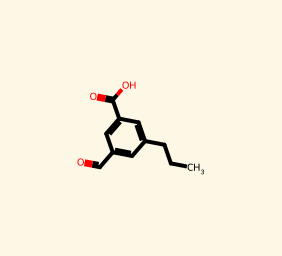 CCCc1cc(C=O)cc(C(=O)O)c1